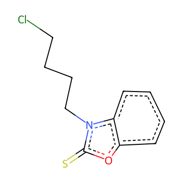 S=c1oc2ccccc2n1CCCCCl